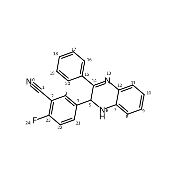 N#Cc1cc(C2Nc3ccccc3N=C2c2ccccc2)ccc1F